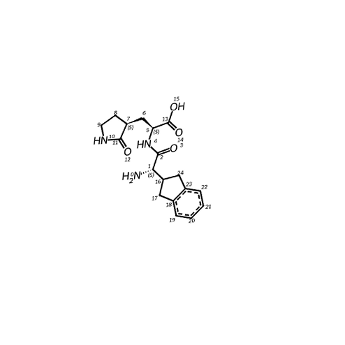 N[C@H](C(=O)N[C@@H](C[C@@H]1CCNC1=O)C(=O)O)C1Cc2ccccc2C1